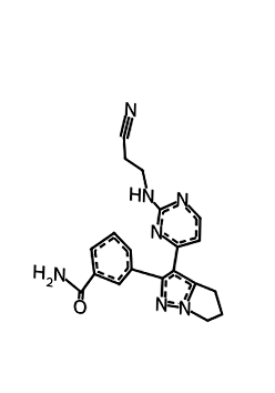 N#CCCNc1nccc(-c2c(-c3cccc(C(N)=O)c3)nn3c2CCC3)n1